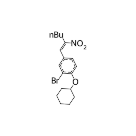 CCCCC(=Cc1ccc(OC2CCCCC2)c(Br)c1)[N+](=O)[O-]